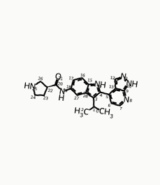 CC(C)c1c(-c2ccnc3[nH]ncc23)[nH]c2ccc(NC(=O)[C@H]3CCNC3)cc12